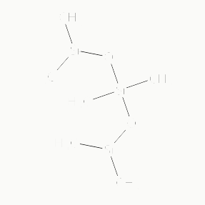 C[Si](C)O[Si](C)(C)O[Si](C)C